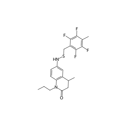 CCCN1C(=O)CC(C)c2cc(NSCc3c(F)c(F)c(C)c(F)c3F)ccc21